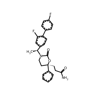 C[C@@H](c1ccc(-c2ccc(F)cc2)c(F)c1)N1CC[C@](CCC(N)=O)(c2ccccc2)OC1=O